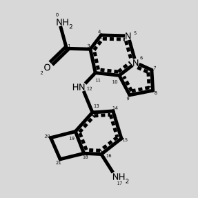 NC(=O)c1cnn2cccc2c1Nc1ccc(N)c2c1CC2